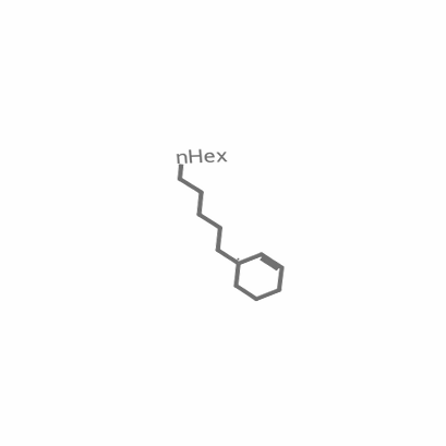 CCCCCCCCCCC[C]1C=CCCC1